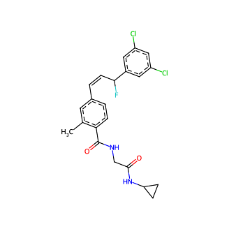 Cc1cc(/C=C\C(F)c2cc(Cl)cc(Cl)c2)ccc1C(=O)NCC(=O)NC1CC1